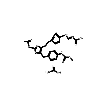 COC(=O)Nc1ccc(Cc2sc(NC(C)=O)nc2CCc2ccc(NC=NC(=O)O)cc2)cc1.NC(=O)O